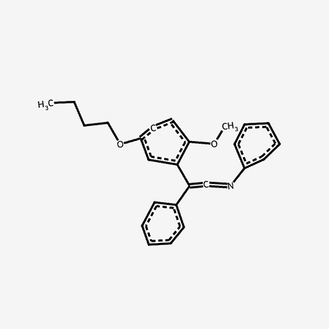 CCCCOc1ccc(OC)c(C(=C=Nc2ccccc2)c2ccccc2)c1